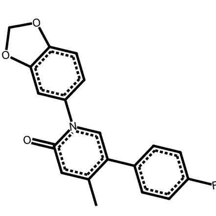 Cc1cc(=O)n(-c2ccc3c(c2)OCO3)cc1-c1ccc(F)cc1